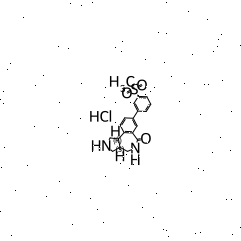 CS(=O)(=O)c1cccc(-c2ccc3c(c2)C(=O)NC[C@@H]2CNC[C@@H]32)c1.Cl